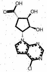 O=C(O)[C@H]1C[C@@H](n2ccc3c(Cl)ncnc32)[C@H](O)[C@@H]1O